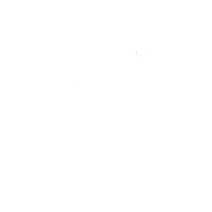 Cc1ccc(C=CC2CCNCC2)cc1.Cl